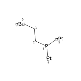 CCCCCCP(CC)CCC